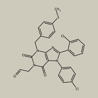 CSc1ccc(Cn2c(=O)n(CC=O)c(=O)c3c2nc(-c2ccccc2Cl)n3-c2ccc(Cl)cc2)cc1